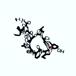 CCC(C)C(=O)N[C@@H](CCC(N)=O)C(=O)N[C@@H]1C(=O)N[C@@H](CC(C)C)C(=O)N[C@H]2CC=CN(C2=O)[C@H](C(C)CC)C(=O)N(C)[C@@H](Cc2ccc(O)cc2)C(=O)N[C@@H](C(C)CC)C(=O)O[C@@H]1C